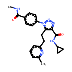 CCNC(=O)c1ccc(-n2nnc(C(=O)NC3CC3)c2CCc2cccc(C)n2)cc1